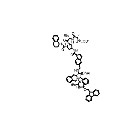 COC[C@H](c1ccccc1)[N+]1(C(=O)[C@@H](NC(=O)OCC2c3ccccc3-c3ccccc32)C(C)(C)C)Cc2ccccc2C[C@H]1C(=O)NCc1ccc2c(ccn2C(=O)N[C@H]2C[C@@H](C(=O)N[C@@H]3CCCc4ccccc43)N(C(=O)[C@@H](NC(=O)[C@H](C)N(C)C(=O)[O-])C(C)(C)C)C2)c1